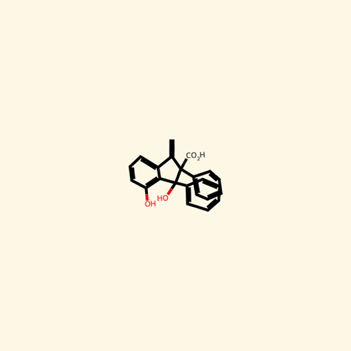 C=C1c2cccc(O)c2C(O)(c2ccccc2)C1(C(=O)O)c1ccccc1